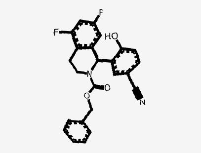 N#Cc1ccc(O)c(C2c3cc(F)cc(F)c3CCN2C(=O)OCc2ccccc2)c1